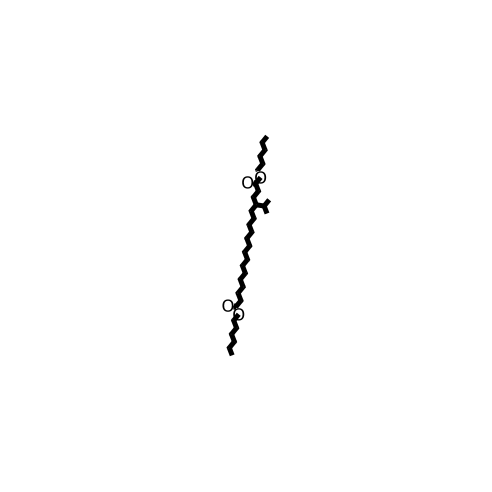 CCCCCCOC(=O)CCCCCCCCCCCCCCC(CCC(=O)OCCCCCC)C(C)C